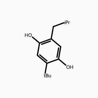 CC(C)Cc1cc(O)c(C(C)(C)C)cc1O